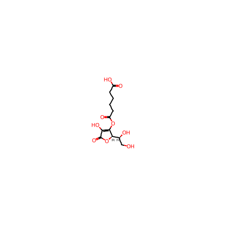 O=C(O)CCCCC(=O)OC1=C(O)C(=O)O[C@@H]1[C@@H](O)CO